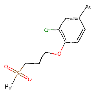 CC(=O)c1ccc(OCCCS(C)(=O)=O)c(Cl)c1